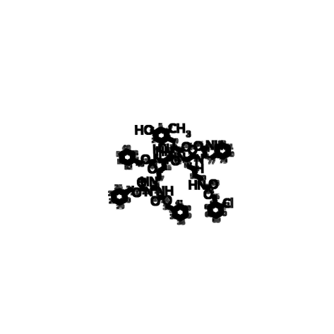 Cc1cc(O)cc(C)c1C[C@H](NC(=O)C(CCCN/C(=N\C(=O)OCc1ccccc1)NC(=O)OCc1ccccc1)NC(=O)OCc1ccccc1)C(=O)N[C@@H](CCCCNC(=O)OCc1ccccc1Cl)C(=O)N[C@@H](Cc1ccccc1)C(N)=O